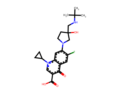 CC(C)(C)NCC1(O)CCN(c2cc3c(cc2F)c(=O)c(C(=O)O)cn3C2CC2)C1